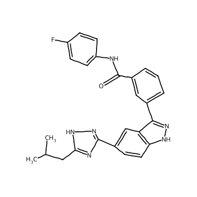 CC(C)Cc1nc(-c2ccc3[nH]nc(-c4cccc(C(=O)Nc5ccc(F)cc5)c4)c3c2)n[nH]1